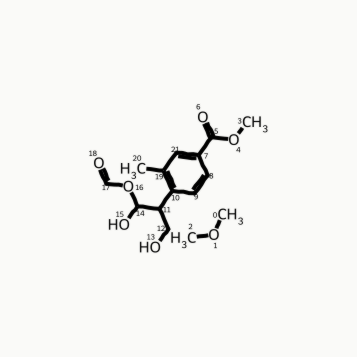 COC.COC(=O)c1ccc(C(CO)C(O)OC=O)c(C)c1